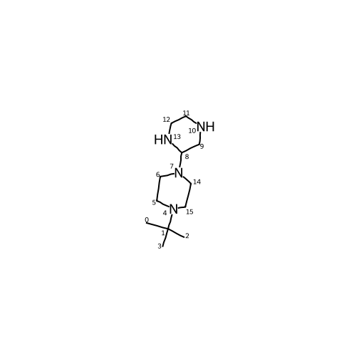 CC(C)(C)N1CCN(C2CNCCN2)CC1